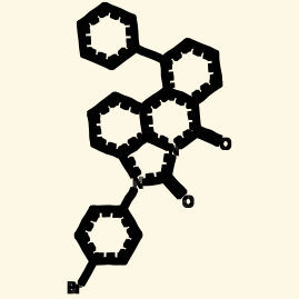 O=c1c2cccc(-c3ccccc3)c2c2cccc3c2n1c(=O)n3-c1ccc(Br)cc1